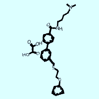 CN(C)CCCCNC(=O)c1ccc(-c2cccc(CSCCOc3ccccc3)c2)cc1.O=C(O)C(=O)O